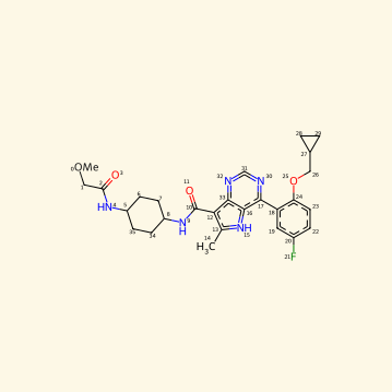 COCC(=O)NC1CCC(NC(=O)c2c(C)[nH]c3c(-c4cc(F)ccc4OCC4CC4)ncnc23)CC1